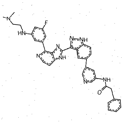 CN(C)CCNc1cc(F)cc(-c2nccc3[nH]c(-c4n[nH]c5ccc(-c6cncc(NC(=O)Cc7ccccc7)c6)cc45)nc23)c1